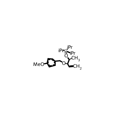 C=C[C@@H](OCc1ccc(OC)cc1)[C@H](C)O[Si](C(C)C)(C(C)C)C(C)C